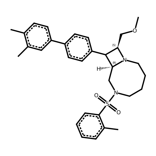 COC[C@@H]1C(c2ccc(-c3ccc(C)c(C)c3)cc2)[C@@H]2CN(S(=O)(=O)c3ccccc3C)CCCCN12